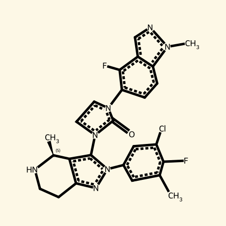 Cc1cc(-n2nc3c(c2-n2ccn(-c4ccc5c(cnn5C)c4F)c2=O)[C@H](C)NCC3)cc(Cl)c1F